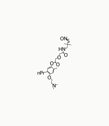 CCCc1cc(OC(=O)COCC(=O)NCC(C)(C)SN=O)c(C)cc1OCCN(C)C